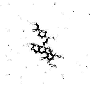 C=CC(=O)N1CCC(N(C)CCN2c3nc(N)ncc3C=C(c3c(Cl)c(OC)cc(OC)c3Cl)C2O)CC1